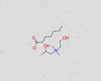 CC(O)C[N+](C)(C)CCO.CCCCCCC(=O)[O-]